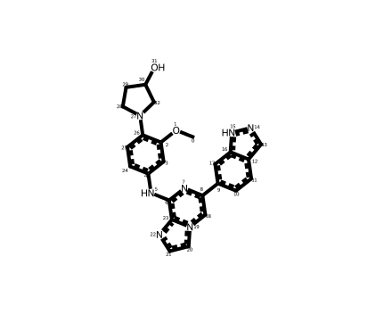 COc1cc(Nc2nc(-c3ccc4cn[nH]c4c3)cn3ccnc23)ccc1N1CCC(O)C1